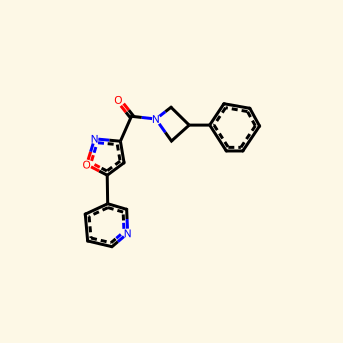 O=C(c1cc(-c2cccnc2)on1)N1CC(c2ccccc2)C1